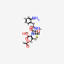 COC1(NC(=O)Cc2ccccc2N)C(=O)N2C(C(=O)O)=C(COC(C)=O)CS[C@@H]21